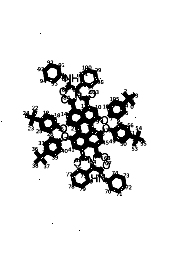 CC(C)(C)c1ccc(Oc2cc3c4c(cc(Oc5ccc(C(C)(C)C)cc5)c5c6c(Oc7ccc(C(C)(C)C)cc7)cc7c8c(cc(Oc9ccc(C(C)(C)C)cc9)c(c2c45)c86)C(=O)N(C(C(=O)NC2CCCCC2)C2CCCCC2)C7=O)C(=O)N(C(C(=O)NC2CCCCC2)C2CCCCC2)C3=O)cc1